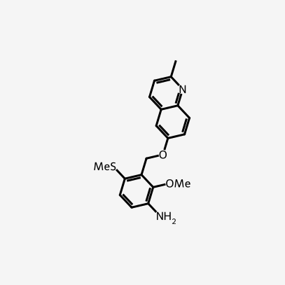 COc1c(N)ccc(SC)c1COc1ccc2nc(C)ccc2c1